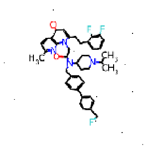 Cc1ccc2c(=O)cc(CCc3cccc(F)c3F)n(CC(=O)N(Cc3ccc(-c4ccc(CF)cc4)cc3)C3CCN(C(C)C)CC3)c2n1